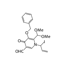 C=CC(I)n1cc(C=O)c(=O)c(OCc2ccccc2)c1C(OC)OC